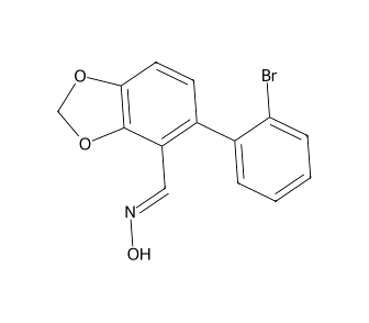 ON=Cc1c(-c2ccccc2Br)ccc2c1OCO2